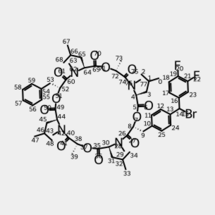 CC(C)C[C@H]1C(=O)O[C@H](Cc2ccc(C(Br)c3ccc(F)c(F)c3)cc2)C(=O)N(C)[C@@H](CC(C)C)C(=O)O[C@H](C)C(=O)N(C)[C@@H](CC(C)C)C(=O)O[C@H](Cc2ccccc2)C(=O)N(C)[C@@H](CC(C)C)C(=O)O[C@H](C)C(=O)N1C